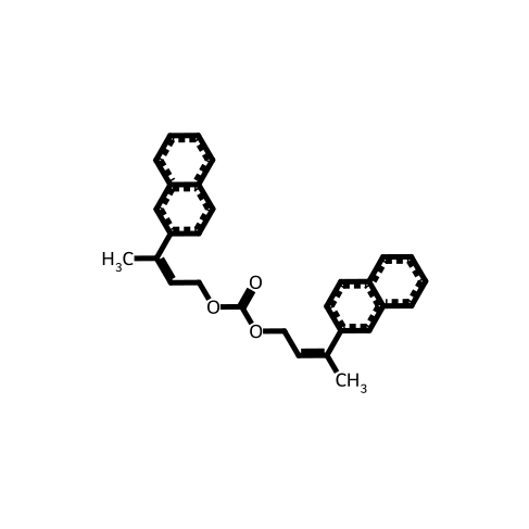 C/C(=C/COC(=O)OC/C=C(/C)c1ccc2ccccc2c1)c1ccc2ccccc2c1